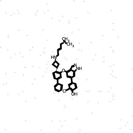 CN(C)C/C=C/CN[C@H]1C[C@H](c2ccc(-c3ccccc3)cc2Oc2cc(-c3ccc(O)c(Cl)c3)cc3[nH]ncc23)C1